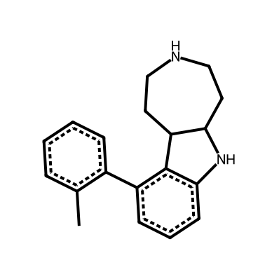 Cc1ccccc1-c1cccc2c1C1CCNCCC1N2